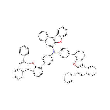 c1ccc(-c2cc3ccccc3c3c2oc2c(-c4ccc(N(c5ccc(-c6cccc7c6oc6c(-c8ccccc8)cc8ccccc8c67)cc5)c5cc6ccccc6c6c5oc5ccccc56)cc4)cccc23)cc1